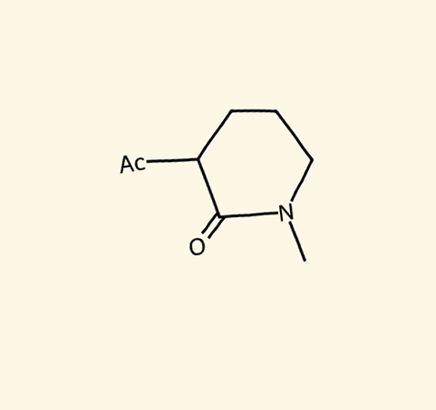 CC(=O)C1CCCN(C)C1=O